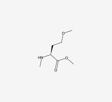 CN[C@@H](CCOC)C(=O)OC